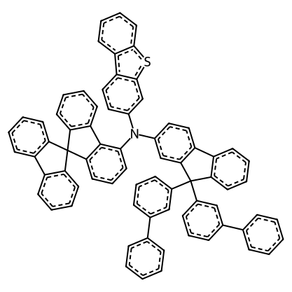 c1ccc(-c2cccc(C3(c4cccc(-c5ccccc5)c4)c4ccccc4-c4ccc(N(c5ccc6c(c5)sc5ccccc56)c5cccc6c5-c5ccccc5C65c6ccccc6-c6ccccc65)cc43)c2)cc1